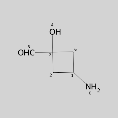 NC1CC(O)(C=O)C1